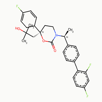 C[C@@H](c1ccc(-c2ccc(F)cc2F)cc1)N1CC[C@](CC(C)(C)O)(C2C=CC(F)=CC2)OC1=O